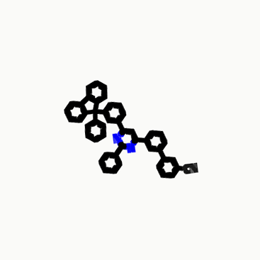 N#Cc1cccc(-c2cccc(-c3cc(-c4cccc(C5(c6ccccc6)c6ccccc6-c6ccccc65)c4)nc(-c4ccccc4)n3)c2)c1